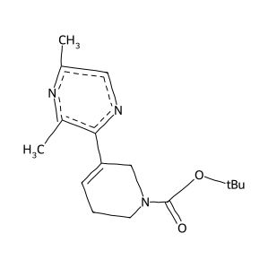 Cc1cnc(C2=CCCN(C(=O)OC(C)(C)C)C2)c(C)n1